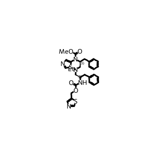 CCN(C[C@@H](Cc1ccccc1)NC(=O)OCc1cncs1)C[C@H](Cc1ccccc1)N(C(=O)OC)c1cncs1